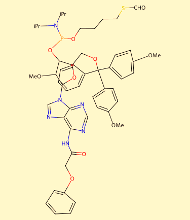 COc1ccc(C(OCC2OC(n3cnc4c(NC(=O)COc5ccccc5)ncnc43)C(OC)C2OP(OCCCCSC=O)N(C(C)C)C(C)C)(c2ccccc2)c2ccc(OC)cc2)cc1